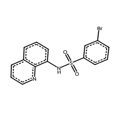 O=S(=O)(Nc1cccc2cccnc12)c1cccc(Br)c1